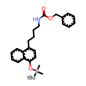 CC(C)(C)[Si](C)(C)Oc1ccc(CCCCNC(=O)OCc2ccccc2)c2ccccc12